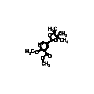 C=C1OB(c2cnc(OC)c(C(=O)OC)c2)OC1(C)C